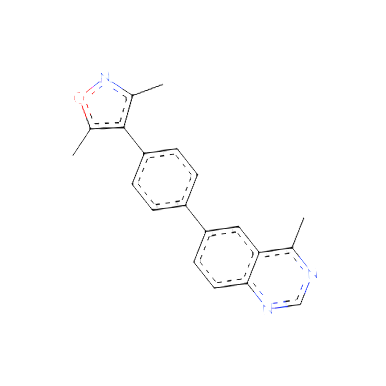 Cc1noc(C)c1-c1ccc(-c2ccc3ncnc(C)c3c2)cc1